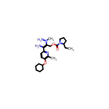 CCC1CCCN1C(=O)OC/C(=C(/N)c1ccc(OC2CCCCC2)c(C)n1)N(C)N